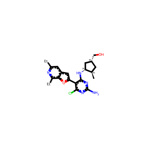 CCc1cc2cc(-c3c(Cl)nc(N)nc3N[C@@H]3C[C@H](CO)C[C@H]3C)oc2c(CC)n1